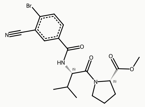 COC(=O)[C@@H]1CCCN1C(=O)[C@@H](NC(=O)c1ccc(Br)c(C#N)c1)C(C)C